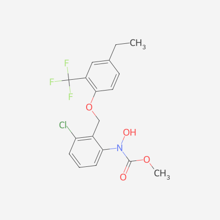 CCc1ccc(OCc2c(Cl)cccc2N(O)C(=O)OC)c(C(F)(F)F)c1